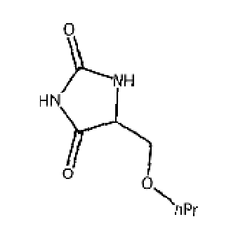 CCCOCC1NC(=O)NC1=O